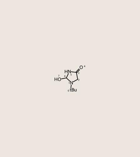 CC(C)(C)N1CC(=O)NC1O